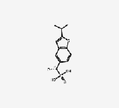 CC(C)c1cc2cc([C@@H](F)P(=O)(O)O)ccc2s1